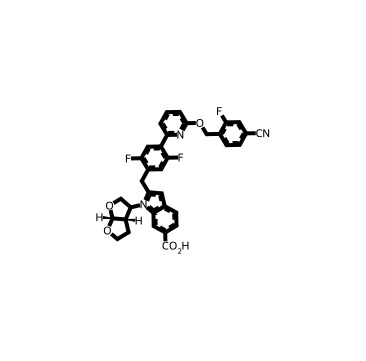 N#Cc1ccc(COc2cccc(-c3cc(F)c(Cc4cc5ccc(C(=O)O)cc5n4C4CO[C@H]5OCC[C@@H]45)cc3F)n2)c(F)c1